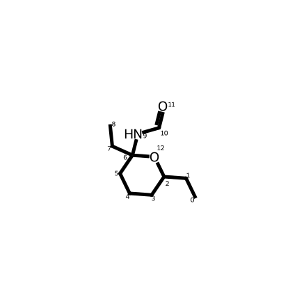 CCC1CCCC(CC)(NC=O)O1